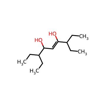 CCC(CC)/C(O)=C/C(O)C(CC)CC